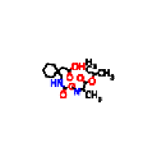 CC(=NOC(=O)NCC1(CC(=O)O)CCCCC1)C(=O)OC(C)C